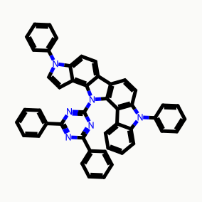 c1ccc(-c2nc(-c3ccccc3)nc(-n3c4c(ccc5c4ccn5-c4ccccc4)c4ccc5c(c6ccccc6n5-c5ccccc5)c43)n2)cc1